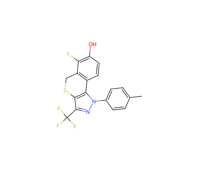 Cc1ccc(-n2nc(C(F)(F)F)c3c2-c2ccc(O)c(F)c2CS3)cc1